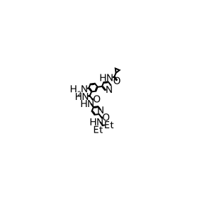 CCC(CC)NC(=O)c1ccc(NC(=O)C(=N)c2cc(-c3cncc(NC(=O)C4CC4)c3)ccc2N)cn1